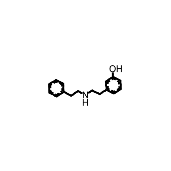 Oc1cccc(CCNCCc2ccccc2)c1